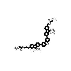 C=CC(=O)OCCCc1ccc2c(c1)C(C)(C)c1cc(-c3ccc4oc5ccc(-c6ccc7c(c6)C(C)(C)c6cc(COC(=O)C=C)ccc6-7)cc5c4c3)ccc1-2